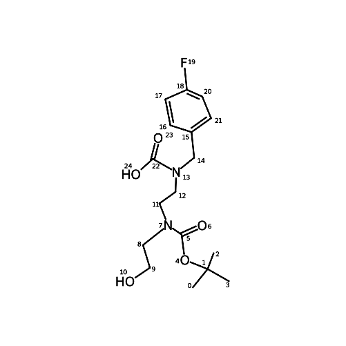 CC(C)(C)OC(=O)N(CCO)CCN(Cc1ccc(F)cc1)C(=O)O